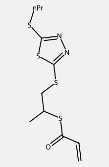 C=CC(=O)SC(C)CSc1nnc(SCCC)s1